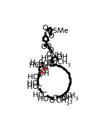 C=C(O)[C@H]1[C@@H]2C[C@@H](O[C@@H]3O[C@H](C)[C@@H](O)[C@H](NC(=O)OCOC(=O)C4CCC(CN5C(=O)CC(SC)C5=O)CC4)[C@@H]3O)/C=C/C=C/C=C/C=C/C=C/C=C/C=C/[C@H](C)[C@@H](O)[C@@H](C)[C@H](C)OC(=O)C[C@H](O)C[C@H](O)CC[C@@H](O)[C@H](O)C[C@H](O)C[C@](O)(C[C@@H]1O)O2